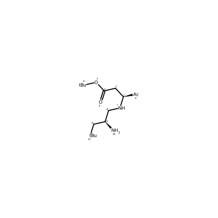 CC(=O)[C@H](CC(=O)OC(C)(C)C)NC[C@@H](N)CC(C)(C)C